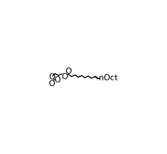 CCCCCCCC/C=C/CCCCCCCC(=O)OCC1COC(=O)O1